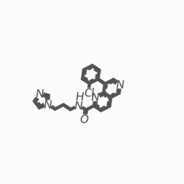 O=C(NCCCn1ccnc1)c1ccc2cncc(-c3ccccc3Cl)c2n1